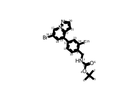 CC(C)(C)OC(=O)NCc1ccc(-c2cc(Br)cn3nccc23)cc1F